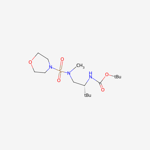 CN(C[C@H](NC(=O)OC(C)(C)C)C(C)(C)C)S(=O)(=O)N1CCOCC1